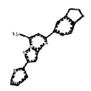 FC(F)(F)c1cc(-c2ccc3c(c2)CCC3)nc2cc(-c3cccs3)nn12